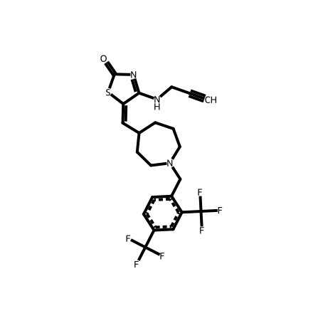 C#CCNC1=NC(=O)SC1=CC1CCCN(Cc2ccc(C(F)(F)F)cc2C(F)(F)F)CC1